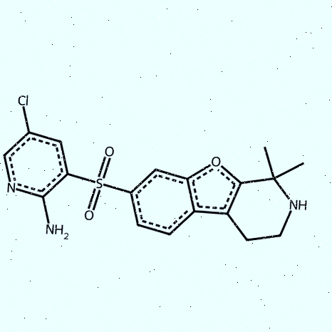 CC1(C)NCCc2c1oc1cc(S(=O)(=O)c3cc(Cl)cnc3N)ccc21